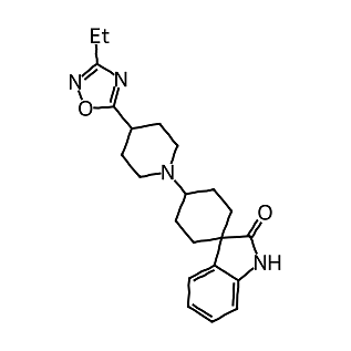 CCc1noc(C2CCN(C3CCC4(CC3)C(=O)Nc3ccccc34)CC2)n1